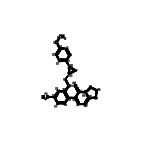 COc1ccc([C@H]2C[C@@H]2COc2nc(C)ncc2-c2ccc3n(c2=O)CCC3)nc1